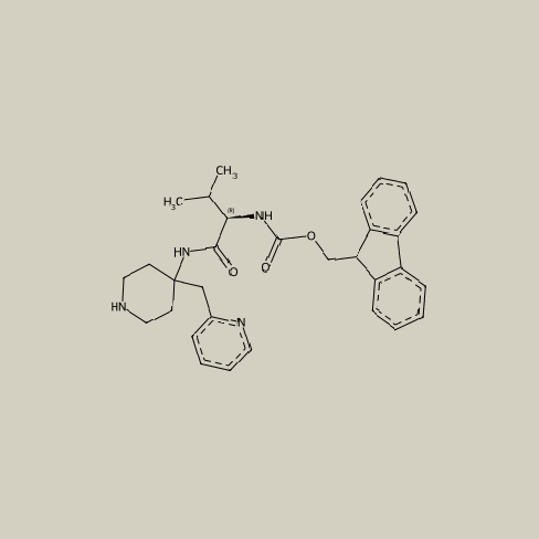 CC(C)[C@@H](NC(=O)OCC1c2ccccc2-c2ccccc21)C(=O)NC1(Cc2ccccn2)CCNCC1